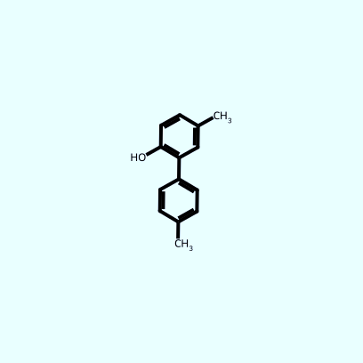 Cc1ccc(-c2cc(C)ccc2O)cc1